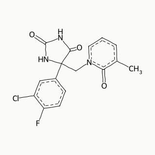 Cc1cccn(CC2(c3ccc(F)c(Cl)c3)NC(=O)NC2=O)c1=O